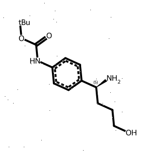 CC(C)(C)OC(=O)Nc1ccc([C@@H](N)CCCO)cc1